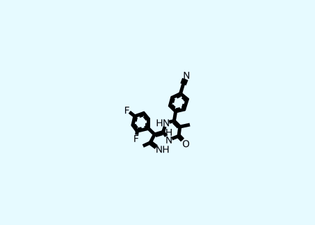 CC(=N)/C(=C1\NC(=O)C(C)=C(c2ccc(C#N)cc2)N1)c1ccc(F)cc1F